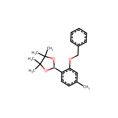 Cc1ccc(B2OC(C)(C)C(C)(C)O2)c(OCc2ccccc2)c1